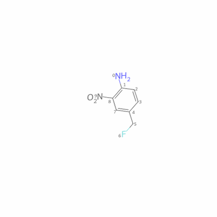 Nc1ccc(CF)cc1[N+](=O)[O-]